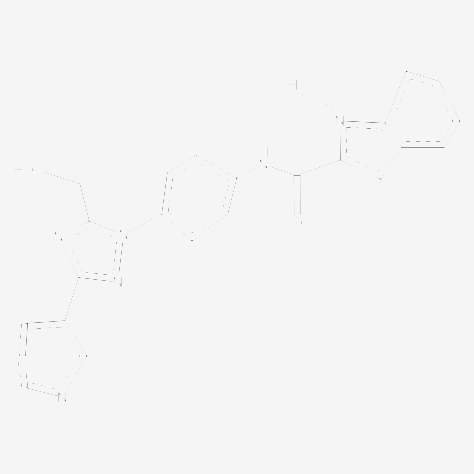 CCc1nc(-c2cccnc2)nn1-c1ccc(NC(=O)c2cc3ccccc3n2C)cc1